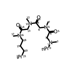 CCCN(C)CC(=O)N(C)CC(=O)N(C)CC(=O)N(C)CCCC(C)C